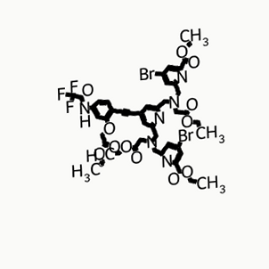 CCOC(=O)COc1cc(NC(=O)C(F)(F)F)ccc1C#Cc1cc(CN(CC(=O)OCC)Cc2cc(Br)cc(C(=O)OCC)n2)nc(CN(CC(=O)OCC)Cc2cc(Br)cc(C(=O)OCC)n2)c1